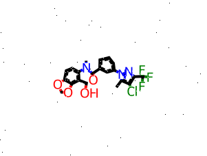 Cc1c(Cl)c(C(F)(F)F)nn1-c1cccc(C(=O)N(C)c2ccc3c(c2CO)OCO3)c1